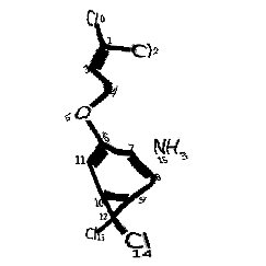 ClC(Cl)=CCOc1ccc2c(c1)C2(Cl)Cl.N